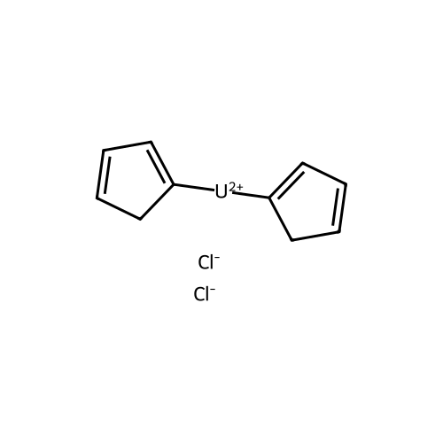 C1=CC[C]([U+2][C]2=CC=CC2)=C1.[Cl-].[Cl-]